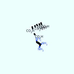 CC(=O)O.CC(=O)O.CC(=O)O.CC(=O)O.CC(=O)O.CC(=O)O.NC=C(N)N